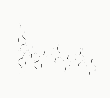 N=C(N)NC(NC(=O)C(NC(=N)N)NC(=O)C(NC(=N)N)NC(=O)C(NC(=N)N)NC(=O)C(NC(=O)C(O)N(Cc1ccc(NOCO)cc1)c1ccc([N+](=O)[O-])cc1[N+](=O)[O-])c1ccccc1)C(N)=O